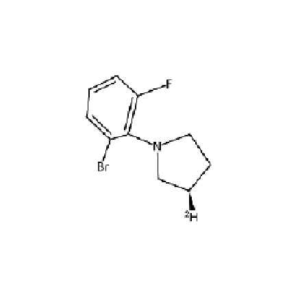 [2H][C@@H]1CCN(c2c(F)cccc2Br)C1